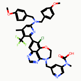 COc1ccc(CN(Cc2ccc(OC)cc2)c2cc(C)c(C(F)(F)F)c(-c3cc4ncnc5c4c(c3Cl)OCCN5Cc3cncc(N(C)C(=O)O)c3)n2)cc1